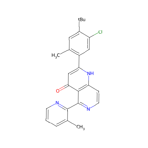 Cc1cc(C(C)(C)C)c(Cl)cc1-c1cc(=O)c2c(-c3ncccc3C)nccc2[nH]1